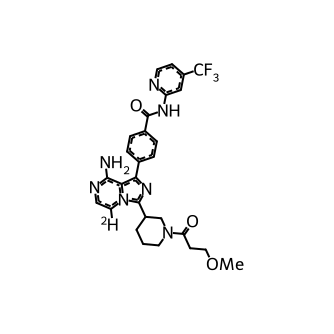 [2H]c1cnc(N)c2c(-c3ccc(C(=O)Nc4cc(C(F)(F)F)ccn4)cc3)nc(C3CCCN(C(=O)CCOC)C3)n12